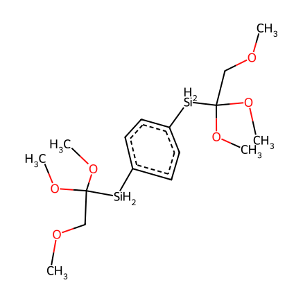 COCC(OC)(OC)[SiH2]c1ccc([SiH2]C(COC)(OC)OC)cc1